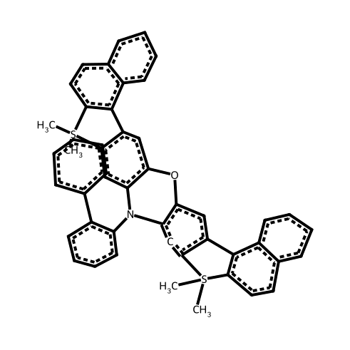 CS1(C)c2cc3c(cc2-c2c1ccc1ccccc21)Oc1cc2c(cc1N3c1ccccc1-c1ccccc1)S(C)(C)c1ccc3ccccc3c1-2